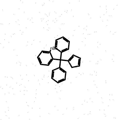 CCCCc1ccccc1C(C1=CC=CC1)(c1ccccc1)c1ccccc1